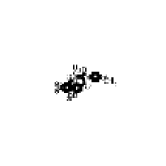 COc1ccc(N2C(=O)C(C(C)OC(=O)c3cc([N+](=O)[O-])cc([N+](=O)[O-])c3)C2C(=O)c2ccccc2)cc1